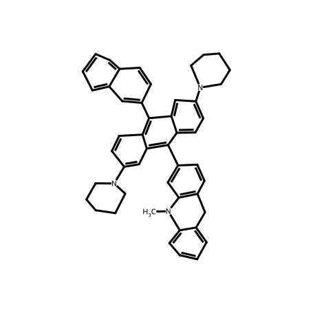 CN1c2ccccc2Cc2ccc(-c3c4ccc(N5CCCCC5)cc4c(-c4ccc5ccccc5c4)c4ccc(N5CCCCC5)cc34)cc21